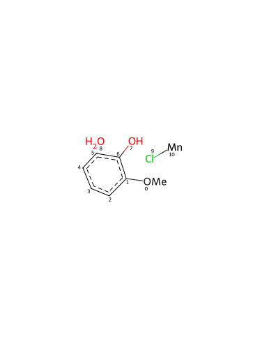 COc1ccccc1O.O.[Cl][Mn]